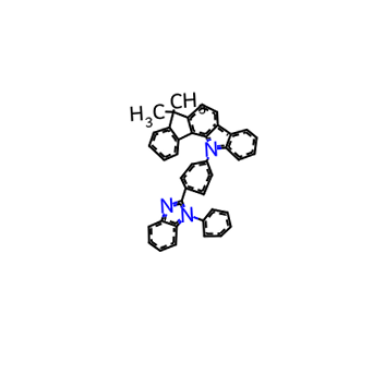 CC1(C)c2ccccc2-c2c1ccc1c3ccccc3n(-c3ccc(-c4nc5ccccc5n4-c4ccccc4)cc3)c21